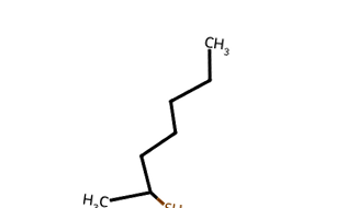 CCCCCC(C)S